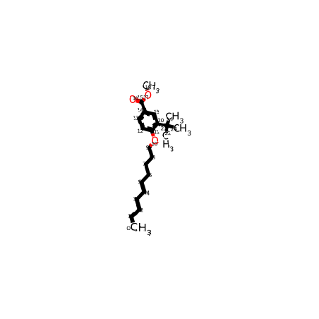 CCCCCCCCCCOc1ccc(C(=O)OC)cc1C(C)(C)C